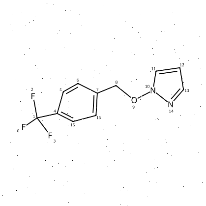 FC(F)(F)c1ccc(COn2cccn2)cc1